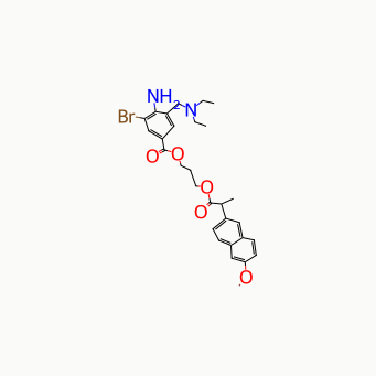 CCN(CC)Cc1cc(C(=O)OCCCOC(=O)C(C)c2ccc3cc(OC)ccc3c2)cc(Br)c1N